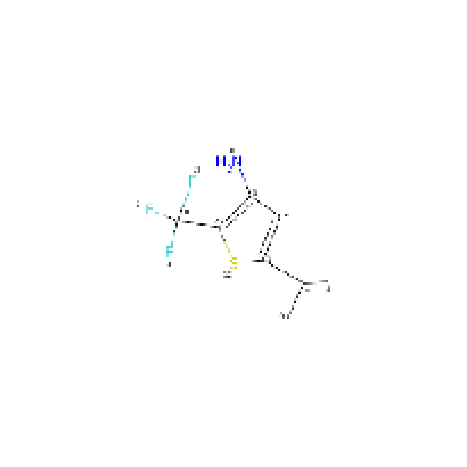 CC(C)c1cc(N)c(C(F)(F)F)s1